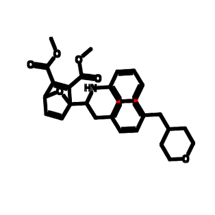 COC(=O)C1=C(C(=O)OC)C2(C(Cc3ccc(CC4CCOCC4)cc3)Nc3ccccc3)C=CC1O2